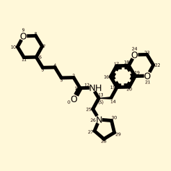 O=C(CCCCC1CCOCC1)N[C@@H](Cc1ccc2c(c1)OCCO2)CN1CCCC1